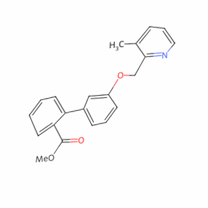 COC(=O)c1ccccc1-c1cccc(OCc2ncccc2C)c1